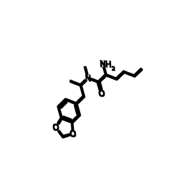 CCCCC(N)C(=O)N(C)C(C)Cc1ccc2c(c1)OCO2